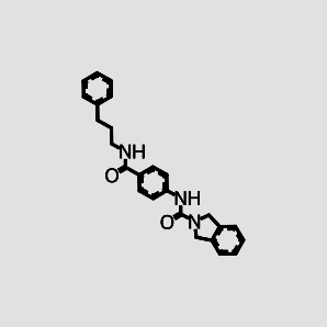 O=C(NCCCc1ccccc1)c1ccc(NC(=O)N2Cc3ccccc3C2)cc1